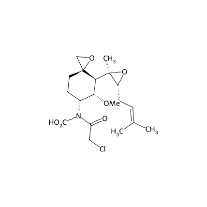 CO[C@@H]1[C@H](N(C(=O)O)C(=O)CCl)CC[C@]2(CO2)[C@H]1[C@@]1(C)O[C@@H]1CC=C(C)C